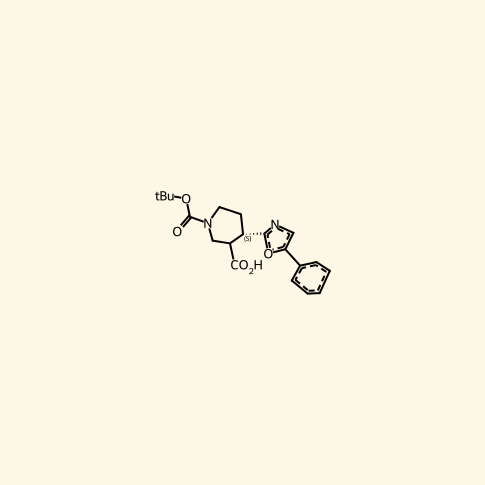 CC(C)(C)OC(=O)N1CC[C@H](c2ncc(-c3ccccc3)o2)C(C(=O)O)C1